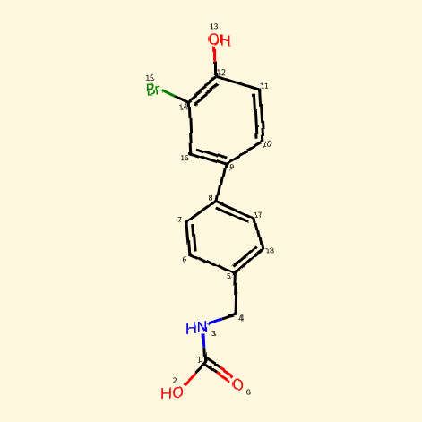 O=C(O)NCc1ccc(-c2ccc(O)c(Br)c2)cc1